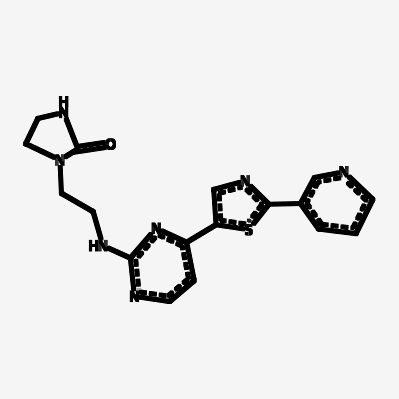 O=C1NCCN1CCNc1nccc(-c2cnc(-c3cccnc3)s2)n1